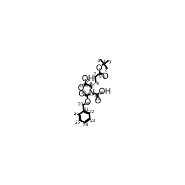 CC(C)(C)OC(=O)CC[C@@H](C(=O)O)N(C(=O)O)C(=O)OCc1ccccc1